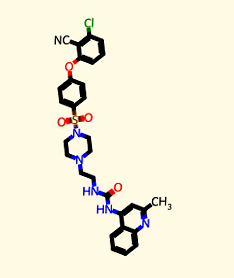 Cc1cc(NC(=O)NCCN2CCN(S(=O)(=O)c3ccc(Oc4cccc(Cl)c4C#N)cc3)CC2)c2ccccc2n1